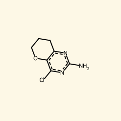 Nc1nc(Cl)c2c(n1)CCCO2